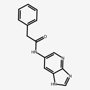 O=C(Cc1ccccc1)Nc1cnc2nc[nH]c2c1